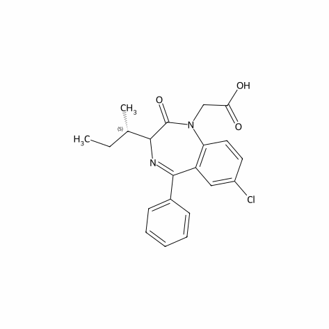 CC[C@H](C)C1N=C(c2ccccc2)c2cc(Cl)ccc2N(CC(=O)O)C1=O